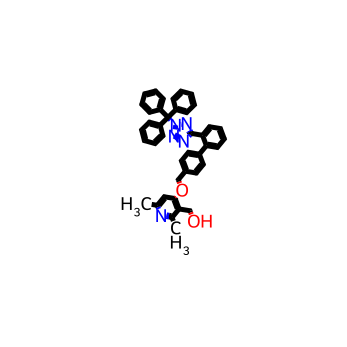 Cc1cc(OCc2ccc(-c3ccccc3-c3nnn(C(c4ccccc4)(c4ccccc4)c4ccccc4)n3)cc2)c(CO)c(C)n1